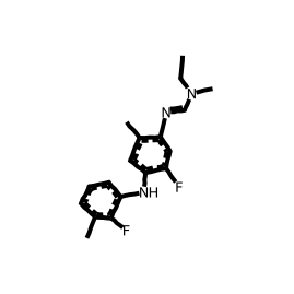 CCN(C)C=Nc1cc(F)c(Nc2cccc(C)c2F)cc1C